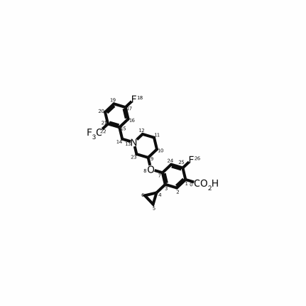 O=C(O)c1cc(C2CC2)c(OC2CCCN(Cc3cc(F)ccc3C(F)(F)F)C2)cc1F